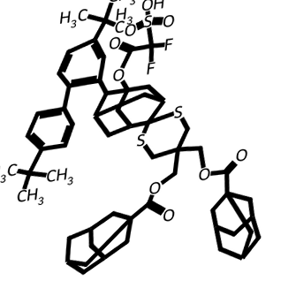 CC(C)(C)c1ccc(-c2ccc(C(C)(C)C)cc2C2C3CC4CC2(OC(=O)C(F)(F)S(=O)(=O)O)CC(C3)C42SCC(COC(=O)C34CC5CC(CC(C5)C3)C4)(COC(=O)C34CC5CC(CC(C5)C3)C4)CS2)cc1